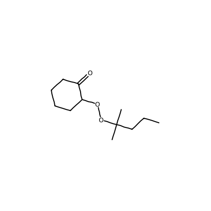 CCCC(C)(C)OOC1CCCCC1=O